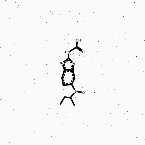 CCC(C)[S+]([O-])c1ccc2[nH]c(NC(=O)O)nc2c1